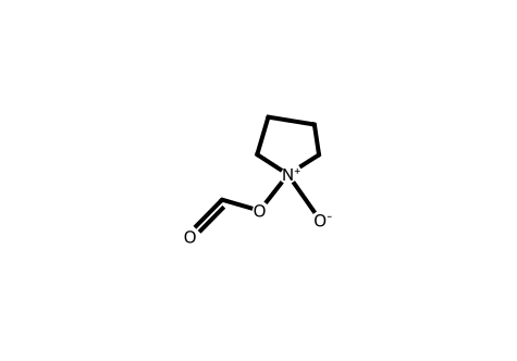 O=CO[N+]1([O-])CCCC1